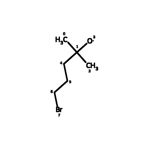 CC(C)([O])CCCBr